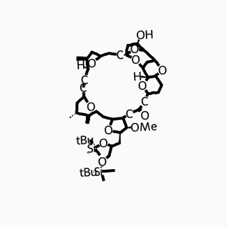 C=C1C2CC3O[C@H](CC(CO[Si](C)(C)C(C)(C)C)O[Si](C)(C)C(C)(C)C)[C@H](OC)C3CC(=O)CC3CCC4OC5CC(O[C@@]6(CCC7CC(=C)[C@H](CCC(C[C@H]1C)O2)O7)C[C@@H](O)C5O6)[C@H]4O3